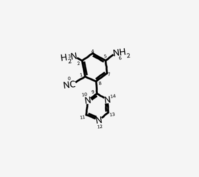 N#Cc1c(N)cc(N)cc1-c1ncncn1